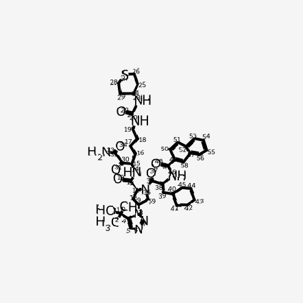 CC(C)(O)c1cnnn1[C@H]1C[C@@H](C(=O)NC(CCCCNC(=O)NC2CCSCC2)C(=O)C(N)=O)N(C(=O)C(CC2CCCCC2)NC(=O)c2ccc3ccccc3c2)C1